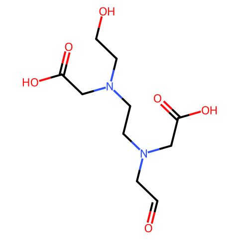 O=CCN(CCN(CCO)CC(=O)O)CC(=O)O